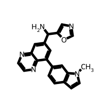 Cn1ccc2ccc(-c3cc(C(N)c4cnco4)cc4nccnc34)cc21